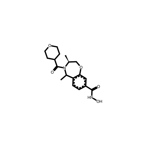 CC1c2ccc(C(=O)NO)cc2OC[C@H](C)N1C(=O)C1CCOCC1